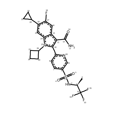 C[C@H](NS(=O)(=O)c1ccc(-c2c(C(N)=O)c3cc(F)c(C4CC4)cc3n2C2CCC2)nc1)C(F)(F)F